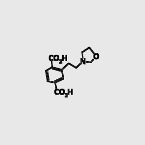 O=C(O)c1ccc(C(=O)O)c(CCN2CCOC2)c1